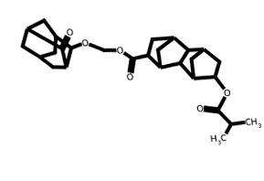 CC(C)C(=O)OC1CC2CC1C1C3CC(CC3C(=O)OCOC3C4CC5CC(C4)C(=O)C3C5)C21